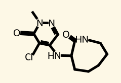 Cn1ncc(NC2CCCCCNC2=O)c(Cl)c1=O